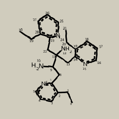 CCc1cccnc1CC(N)C(N)(Cc1ncccc1CC)Cc1ncccc1CC